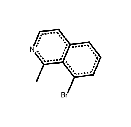 Cc1nccc2cccc(Br)c12